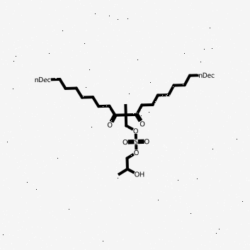 CCCCCCCCCCCCCCCCCC(=O)C(C)(COS(=O)(=O)OCC(C)O)C(=O)CCCCCCCCCCCCCCCCC